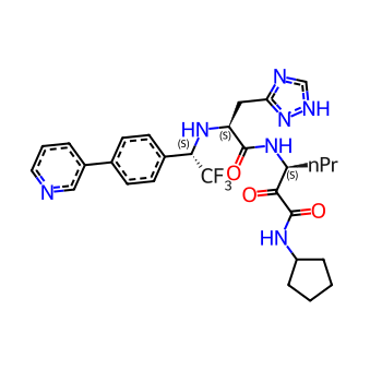 CCC[C@H](NC(=O)[C@H](Cc1nc[nH]n1)N[C@@H](c1ccc(-c2cccnc2)cc1)C(F)(F)F)C(=O)C(=O)NC1CCCC1